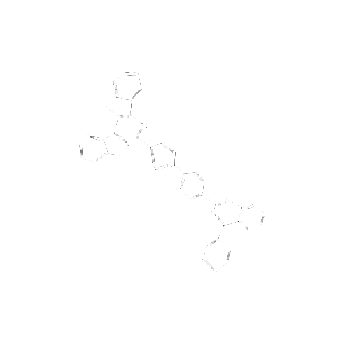 c1ccc(-c2nc(-c3ccc(-c4ccc(-c5nc6c7ccccc7sc6c6c5oc5ccccc56)cc4)cc3)nc3ccccc23)cc1